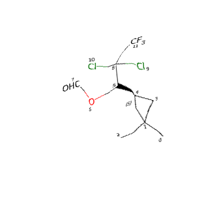 CC1(C)C[C@@H]1C(OC=O)C(Cl)(Cl)C(F)(F)F